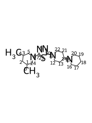 CC1CC(C)CN(c2nnc(N3CCC(N4CCCCC4)CC3)s2)C1